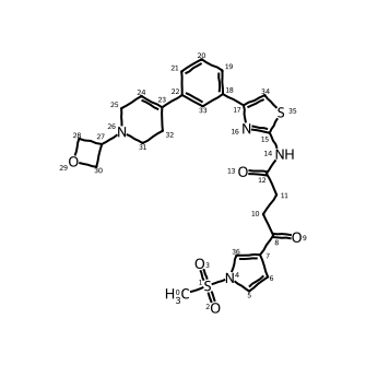 CS(=O)(=O)n1ccc(C(=O)CCC(=O)Nc2nc(-c3cccc(C4=CCN(C5COC5)CC4)c3)cs2)c1